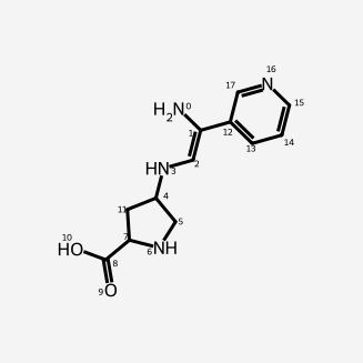 N/C(=C\NC1CNC(C(=O)O)C1)c1cccnc1